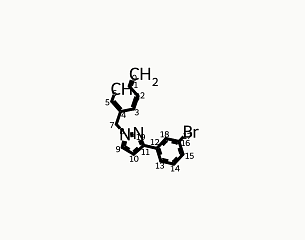 C=C/C=C\C(=C/C)Cn1ccc(-c2cccc(Br)c2)n1